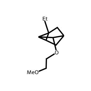 CCC12CC3CC1C2C3OCCOC